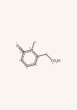 CCOC(=O)Cc1cccc(=O)n1C